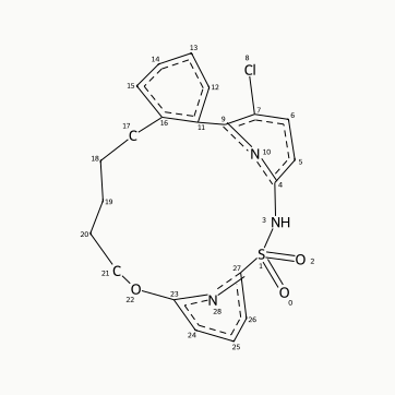 O=S1(=O)Nc2ccc(Cl)c(n2)-c2ccccc2CCCCCOc2cccc1n2